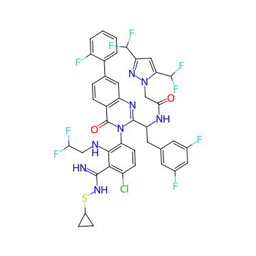 N=C(NSC1CC1)c1c(Cl)ccc(-n2c(C(Cc3cc(F)cc(F)c3)NC(=O)Cn3nc(C(F)F)cc3C(F)F)nc3cc(-c4ccccc4F)ccc3c2=O)c1NCC(F)F